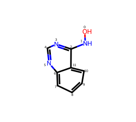 ONc1ncnc2ccccc12